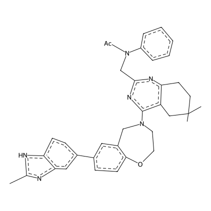 CC(=O)N(Cc1nc2c(c(N3CCOc4ccc(-c5ccc6[nH]c(C)nc6c5)cc4C3)n1)CC(C)(C)CC2)c1ccccc1